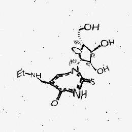 CCNCc1cn([C@@H]2O[C@H](CO)[C@@H](O)[C@H]2O)c(=S)[nH]c1=O